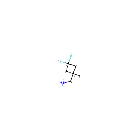 [CH2]C1(CN)CC(F)(F)C1